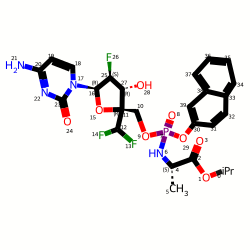 CC(C)OC(=O)[C@H](C)NP(=O)(OC[C@@]1(C(F)F)O[C@@H](n2ccc(N)nc2=O)[C@@H](F)[C@@H]1O)Oc1ccc2ccccc2c1